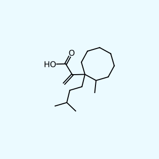 C=C(C(=O)O)C1(CCC(C)C)CCCCCCC1C